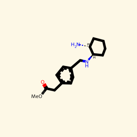 COC(=O)Cc1ccc(CN[C@@H]2CCCC[C@H]2N)cc1